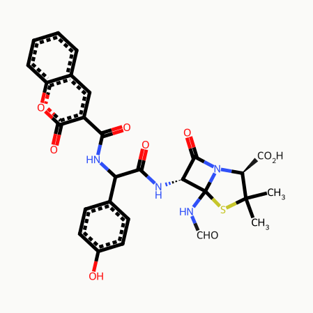 CC1(C)SC2(NC=O)[C@H](NC(=O)C(NC(=O)c3cc4ccccc4oc3=O)c3ccc(O)cc3)C(=O)N2[C@H]1C(=O)O